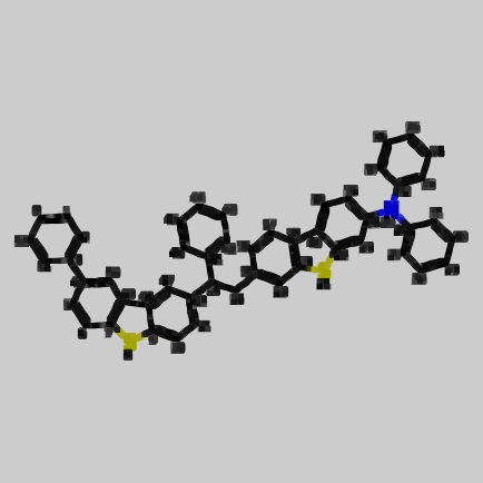 c1ccc(-c2ccc3sc4ccc(C(Cc5ccc6c(c5)sc5cc(N(c7ccccc7)c7ccccc7)ccc56)c5ccccc5)cc4c3c2)cc1